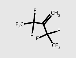 C=C(C(F)(F)C(F)(F)F)C(F)(F)C(F)(F)F